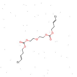 CCC=CCCOC(=O)OCCOCCOC(=O)OCCC=CCC